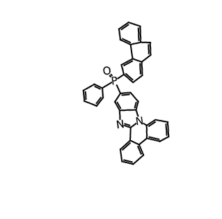 O=P(c1ccccc1)(c1ccc2c(c1)nc1c3ccccc3c3ccccc3n21)c1ccc2ccc3ccccc3c2c1